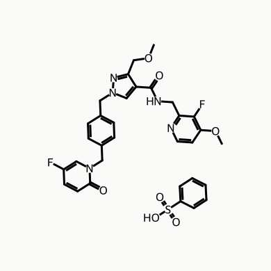 COCc1nn(Cc2ccc(Cn3cc(F)ccc3=O)cc2)cc1C(=O)NCc1nccc(OC)c1F.O=S(=O)(O)c1ccccc1